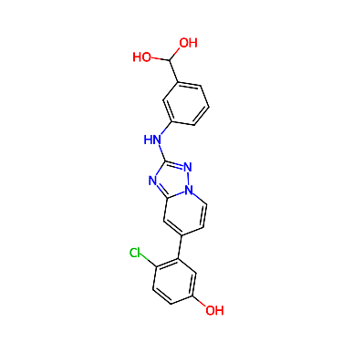 Oc1ccc(Cl)c(-c2ccn3nc(Nc4cccc(C(O)O)c4)nc3c2)c1